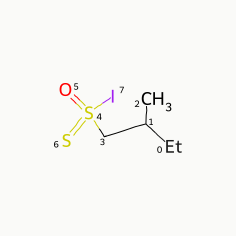 CCC(C)CS(=O)(=S)I